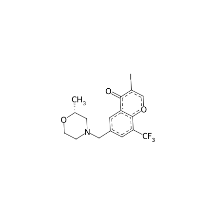 C[C@@H]1CN(Cc2cc(C(F)(F)F)c3occ(I)c(=O)c3c2)CCO1